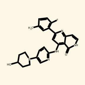 Cc1ccc(F)c(-c2cc(Nc3ccc(N4CCC(O)CC4)cn3)c3c(=O)[nH]ccc3n2)c1